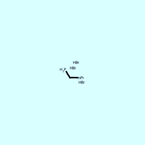 Br.Br.Br.CCCCP